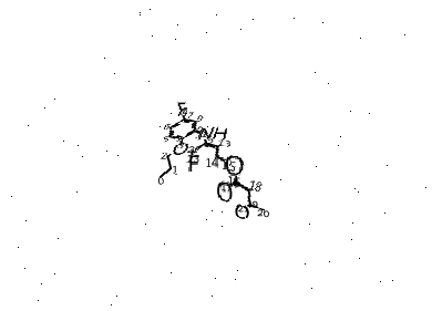 CCCOc1ccc(F)cc1NC(=CCOC(=O)CC(C)=O)CF